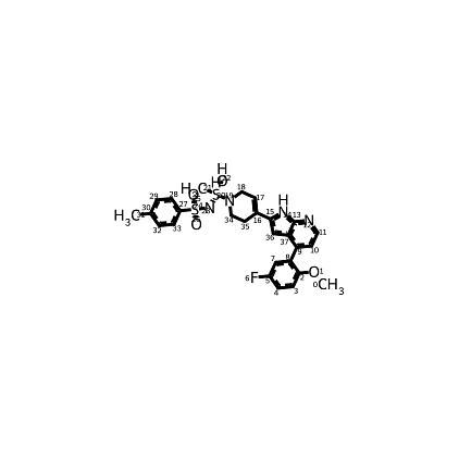 COc1ccc(F)cc1-c1ccnc2[nH]c(C3=CCN([SH](C)(O)=NS(=O)(=O)c4ccc(C)cc4)CC3)cc12